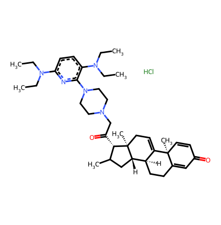 CCN(CC)c1ccc(N(CC)CC)c(N2CCN(CC(=O)[C@H]3C(C)C[C@H]4[C@@H]5CCC6=CC(=O)C=C[C@]6(C)C5=CC[C@]34C)CC2)n1.Cl